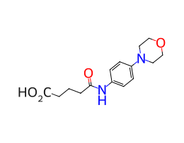 O=C(O)CCCC(=O)Nc1ccc(N2CCOCC2)cc1